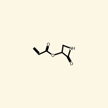 C=CC(=O)OC1CNC1=O